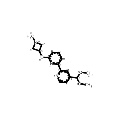 COC(OC)c1ccnc(-c2cccc(OC3CN(C)C3)n2)c1